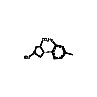 Cc1ccc([C@@H]2CN(C(C)(C)C)CC2C(=O)O)c(F)c1